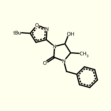 CC1C(O)N(c2cc(C(C)(C)C)on2)C(=O)N1Cc1ccccc1